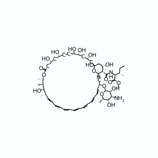 CC[C@H](C)C(NC(=O)[C@H]1[C@@H]2C[C@@H](O[C@@H]3O[C@H](C)[C@@H](O)[C@H](N)[C@@H]3O)/C=C/C=C/C=C/C=C/C=C/C=C/C=C/[C@H](C)[C@@H](O)[C@@H](C)[C@H](C)OC(=O)C[C@H](O)C[C@H](O)CC[C@@H](O)[C@H](O)C[C@H](O)C[C@](O)(C[C@@H]1O)O2)C(=O)OC